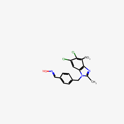 Cc1nc2c([N+](=O)[O-])c(Cl)c(Cl)cc2n1Cc1ccc(C=NO)cc1